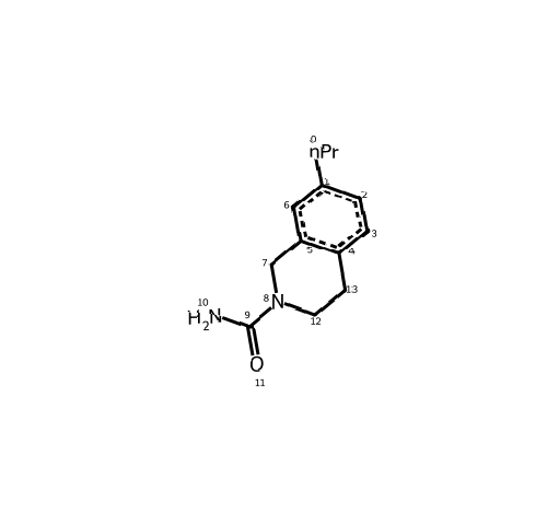 CCCc1ccc2c(c1)CN(C(N)=O)CC2